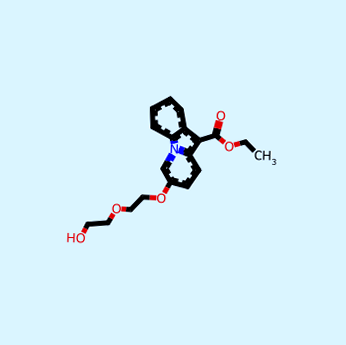 CCOC(=O)c1c2ccccc2n2cc(OCCOCCO)ccc12